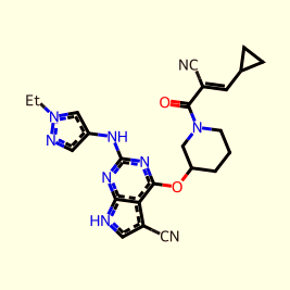 CCn1cc(Nc2nc(OC3CCCN(C(=O)C(C#N)=CC4CC4)C3)c3c(C#N)c[nH]c3n2)cn1